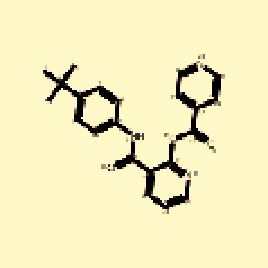 CC(C)(C)c1ccc(NC(=O)c2cccnc2SC(=O)c2ccncc2)cc1